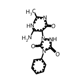 Cc1nc(=O)c(-n2[nH]c(=O)n(-c3ccccc3)c2=O)c(N)[nH]1